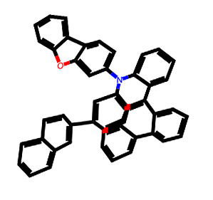 c1cc(-c2ccc3ccccc3c2)cc(N(c2ccc3c(c2)oc2ccccc23)c2ccccc2-c2cc3ccccc3c3ccccc23)c1